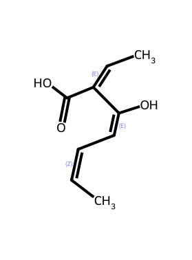 C\C=C/C=C(O)\C(=C/C)C(=O)O